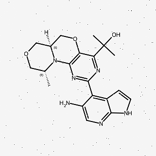 C[C@@H]1COC[C@H]2COc3c(nc(-c4c(N)cnc5[nH]ccc45)nc3C(C)(C)O)N21